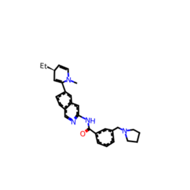 CC[C@H]1C=CN(C)C(c2ccc3cnc(NC(=O)c4cccc(CN5CCCC5)c4)cc3c2)=C1